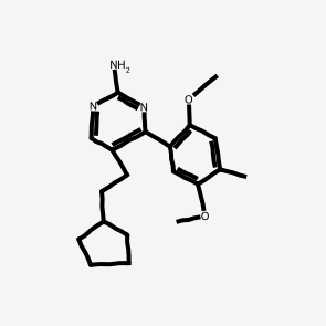 COc1cc(-c2nc(N)ncc2CCC2CCCC2)c(OC)cc1C